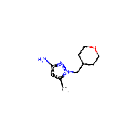 Nc1cc(C(F)(F)F)n(CC2CCOCC2)n1